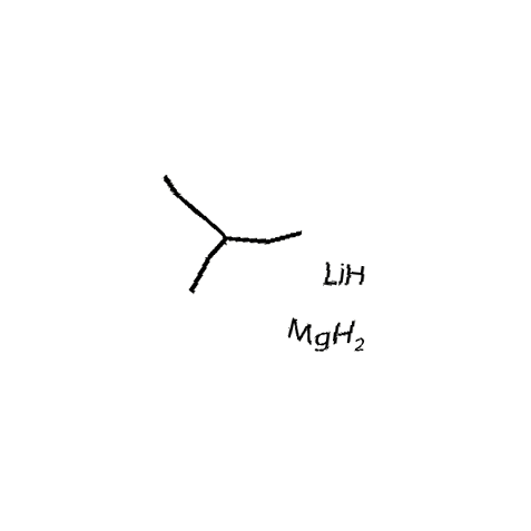 C[C](C)C.[LiH].[MgH2]